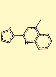 Cc1cc(-c2cccs2)nc2ccccc12